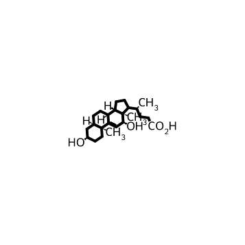 C[C@H](CCC(=O)O)C1CC[C@H]2[C@@H]3CC[C@@H]4C[C@H](O)CC[C@]4(C)C3=C[C@H](O)[C@]12C